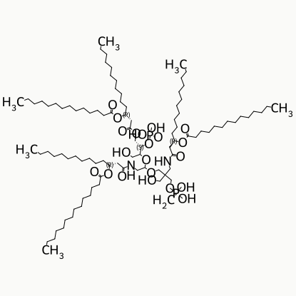 C=P(O)(O)OCC(CO)(CNC(=O)C[C@@H](CCCCCCCCCCC)OC(=O)CCCCCCCCCCCCC)COC(CNC(=O)C[C@@H](CCCCCCCCCCC)OC(=O)CCCCCCCCCCCCC)OC(CO)[C@H](COC(=O)C[C@@H](CCCCCCCCCCC)OC(=O)CCCCCCCCCCCCC)OP(=O)(O)O